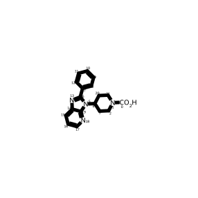 O=C(O)N1CCC(n2c(-c3ccccc3)nc3cccnc32)CC1